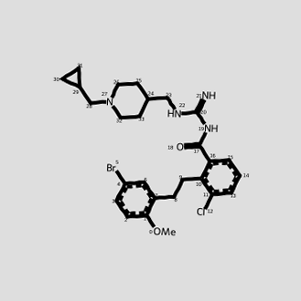 COc1ccc(Br)cc1CCc1c(Cl)cccc1C(=O)NC(=N)NCC1CCN(CC2CC2)CC1